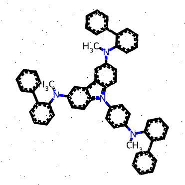 CN(c1ccc(-n2c3ccc(N(C)c4ccccc4-c4ccccc4)cc3c3cc(N(C)c4ccccc4-c4ccccc4)ccc32)cc1)c1ccccc1-c1ccccc1